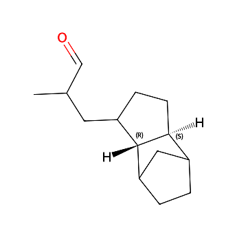 CC(C=O)CC1CC[C@H]2C3CCC(C3)[C@H]12